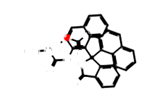 CC(C)(C)OC(=O)Oc1ccc2ccccc2c1C1(c2c(OC(=O)OC(C)(C)C)ccc3ccccc23)OC(=O)c2ccccc21